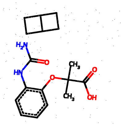 C1CC2CCC12.CC(C)(Oc1ccccc1NC(N)=O)C(=O)O